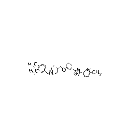 Cc1ccc(-c2noc(-c3cccc(OCC4CCN(Cc5ccc(C)c(C)c5)CC4)c3)n2)cn1